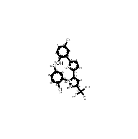 Oc1ccc(F)cc1-c1ccc(-c2cc(C(F)(F)F)nn2-c2cc(Cl)ccc2Cl)s1